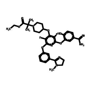 CCOC(=O)C(C)(C)N1CCC(Oc2c(F)c(Oc3cccc(C4=NCCN4C)c3)nc(Oc3cc(C(=N)N)ccc3O)c2F)CC1